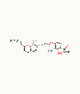 CCCc1c(OCCCOc2ccc3c(c2CCC)OC(CCC(=O)OCC)CC3)ccc(C(=O)NC)c1O